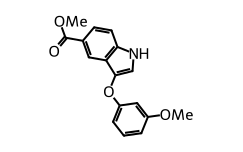 COC(=O)c1ccc2[nH]cc(Oc3cccc(OC)c3)c2c1